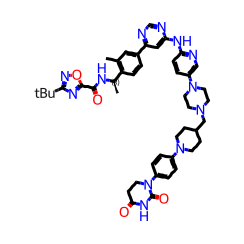 Cc1cc(-c2cc(Nc3ccc(N4CCN(CC5CCN(c6ccc(N7CCC(=O)NC7=O)cc6)CC5)CC4)cn3)ncn2)ccc1[C@@H](C)NC(=O)c1nc(C(C)(C)C)no1